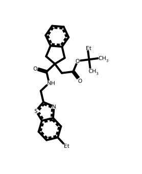 CCc1ccc2sc(CNC(=O)C3(CC(=O)OC(C)(C)CC)Cc4ccccc4C3)nc2c1